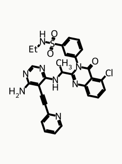 CCNS(=O)(=O)c1cccc(-n2c(C(C)Nc3ncnc(N)c3C#Cc3ccccn3)nc3cccc(Cl)c3c2=O)c1